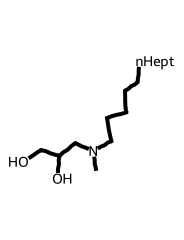 CCCCCCCCCCCCN(C)CC(O)CO